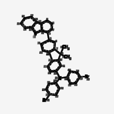 CC1(C)c2cc(-c3cccc4c3sc3ccccc34)ccc2-c2ccc(N(c3ccc(Br)cc3)c3ccc(Br)cc3)cc21